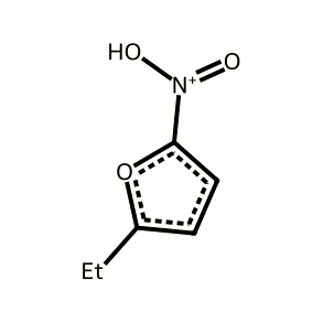 CCc1ccc([N+](=O)O)o1